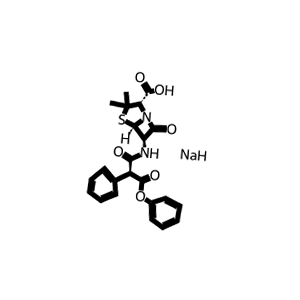 CC1(C)S[C@@H]2[C@H](NC(=O)[C@@H](C(=O)Oc3ccccc3)c3ccccc3)C(=O)N2[C@H]1C(=O)O.[NaH]